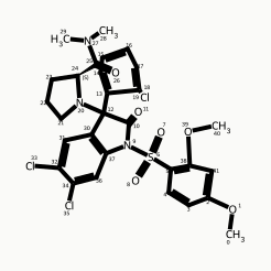 COc1ccc(S(=O)(=O)N2C(=O)C(c3ccccc3Cl)(N3CCC[C@H]3C(=O)N(C)C)c3cc(Cl)c(Cl)cc32)c(OC)c1